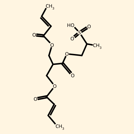 CC=CC(=O)OCC(COC(=O)C=CC)C(=O)OCC(C)S(=O)(=O)O